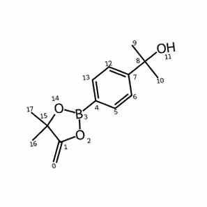 C=C1OB(c2ccc(C(C)(C)O)cc2)OC1(C)C